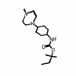 CCC(C)(C)OC(=O)NC1CCC(N2CCN(C)CC2)CC1